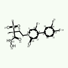 C[C@@](CCn1cc(F)c(-c2ccc(F)c(F)c2)cc1=O)(C(=O)NO)S(C)(=O)=O